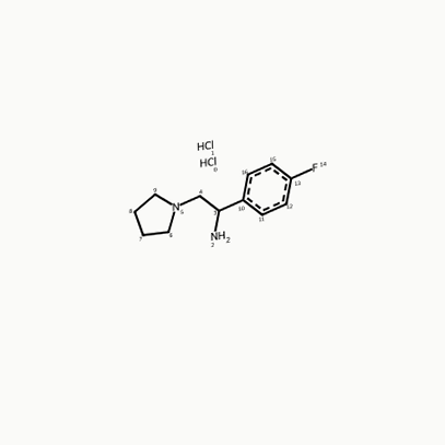 Cl.Cl.NC(CN1CCCC1)c1ccc(F)cc1